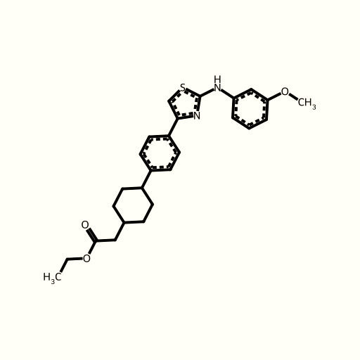 CCOC(=O)CC1CCC(c2ccc(-c3csc(Nc4cccc(OC)c4)n3)cc2)CC1